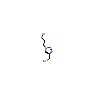 CC(=O)CCCn1cc(CC(C)(C)C)nn1